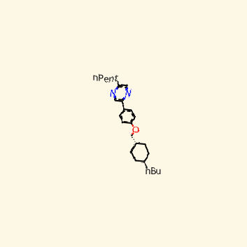 CCCCCc1cnc(-c2ccc(OC[C@H]3CC[C@H](CCCC)CC3)cc2)cn1